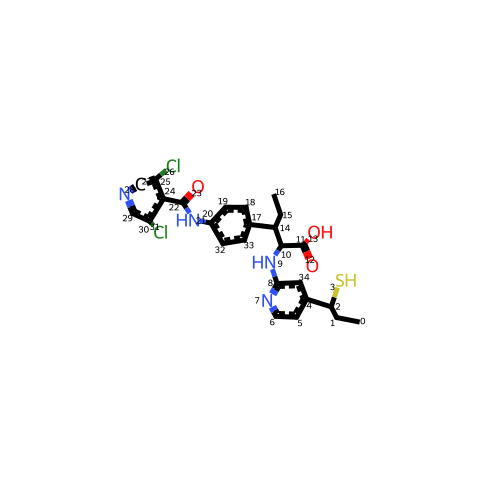 CCC(S)c1ccnc(NC(C(=O)O)C(CC)c2ccc(NC(=O)c3c(Cl)cncc3Cl)cc2)c1